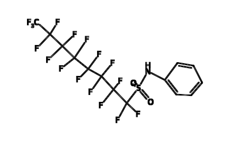 O=S(=O)(Nc1ccccc1)C(F)(F)C(F)(F)C(F)(F)C(F)(F)C(F)(F)C(F)(F)C(F)(F)C(F)(F)F